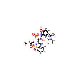 CCOC(=O)CN1C(C(O[SH](=O)=O)C(=O)Nc2cc(C(=O)N(CC)CC)ccc2OC)=NC2=C(CCCC2)S1(=O)=O